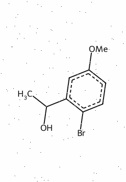 COc1ccc(Br)c(C(C)O)c1